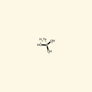 OB(O)O.[TeH2]